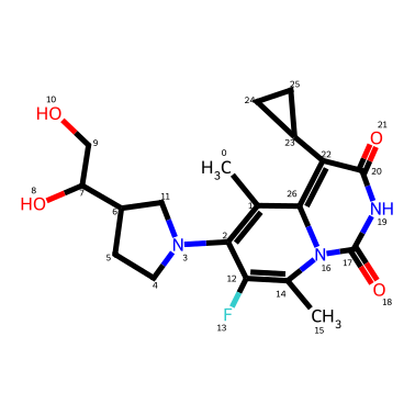 Cc1c(N2CCC(C(O)CO)C2)c(F)c(C)n2c(=O)[nH]c(=O)c(C3CC3)c12